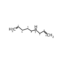 C=CCBCCCC=C